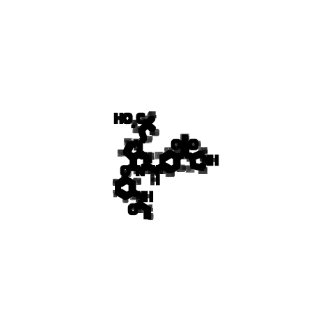 C=CC(=O)Nc1cccc(Oc2nc(Nc3ccc(N(C4CCNC4)S(C)(=O)=O)cc3)nc3c2ccn3CCC(C)(C)C(=O)O)c1